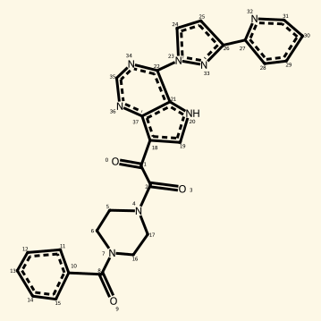 O=C(C(=O)N1CCN(C(=O)c2ccccc2)CC1)c1c[nH]c2c(-n3ccc(-c4ccccn4)n3)ncnc12